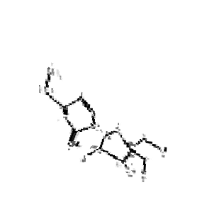 C=C1N=C(NC)C=CN1[C@@H]1O[C@@](CO)(CCl)[C@@H](O)[C@H]1F